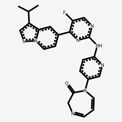 CC(C)c1cnn2ccc(-c3nc(Nc4ccc(N5C=CC=NCC5=O)cn4)ncc3F)cc12